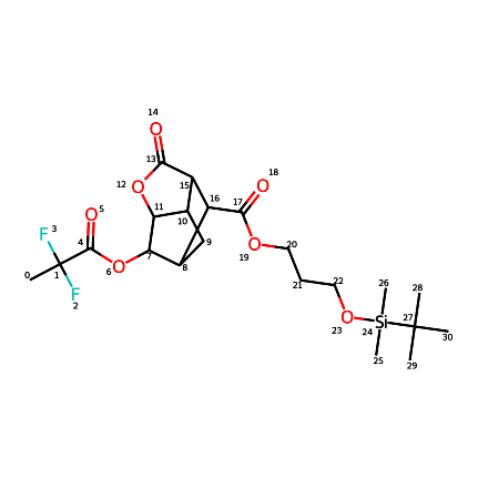 CC(F)(F)C(=O)OC1C2CC3C1OC(=O)C3C2C(=O)OCCCO[Si](C)(C)C(C)(C)C